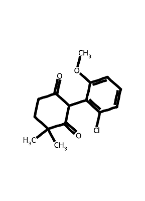 COc1cccc(Cl)c1C1C(=O)CCC(C)(C)C1=O